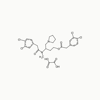 CN(C(=O)Cc1ccc(Cl)c(Cl)c1)C(CCOC(=O)Cc1ccc(Cl)c(Cl)c1)CN1CCCC1.O=C(O)C(=O)O